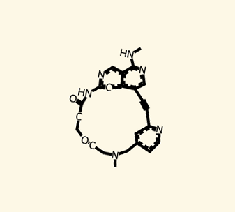 CNc1ncc2c3cc(ncc13)NC(=O)CCOCCN(C)Cc1ccnc(c1)C#C2